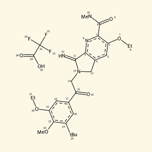 CCOc1cc2c(nc1C(=O)NC)C(=N)N(CC(=O)c1cc(OCC)c(OC)c(C(C)(C)C)c1)C2.O=C(O)C(F)(F)F